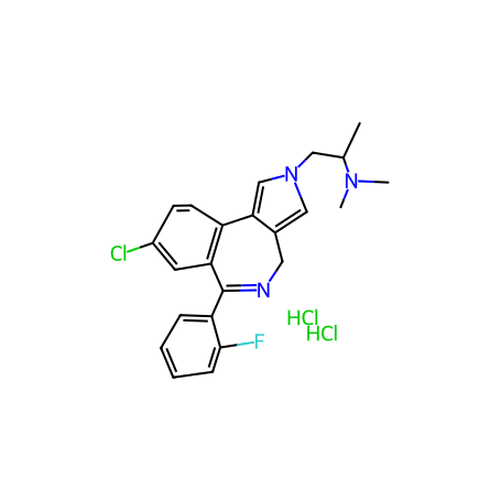 CC(Cn1cc2c(c1)-c1ccc(Cl)cc1C(c1ccccc1F)=NC2)N(C)C.Cl.Cl